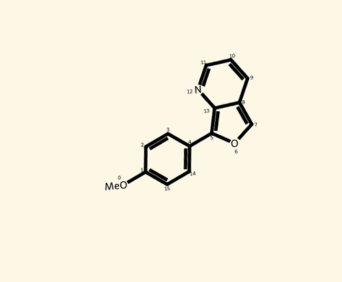 COc1ccc(-c2occ3cccnc23)cc1